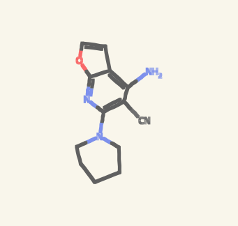 N#Cc1c(N2CCCCC2)nc2occc2c1N